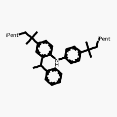 CCCC(C)CC(C)(C)c1ccc(Nc2ccc(C(C)(C)CC(C)CCC)cc2C(C)c2ccccc2)cc1